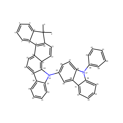 CC1(C)c2ccccc2-c2c1ccc1c2ccc2c3ccccc3n(-c3ccc4c(c3)c3ccccc3n4-c3ccccc3)c12